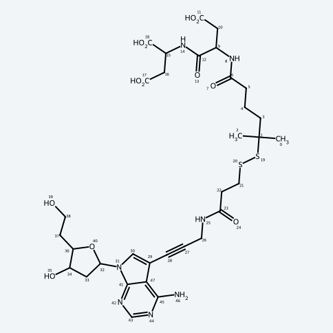 CC(C)(CCCC(=O)NC(CC(=O)O)C(=O)NC(CC(=O)O)C(=O)O)SSCCC(=O)NCC#Cc1cn(C2CC(O)C(CCO)O2)c2ncnc(N)c12